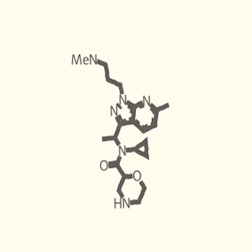 CNCCCn1nc(C(C)N(C(=O)C2CNCCO2)C2CC2)c2ccc(C)nc21